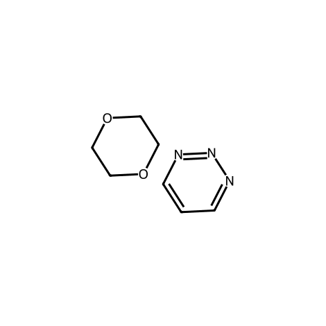 C1COCCO1.c1cnnnc1